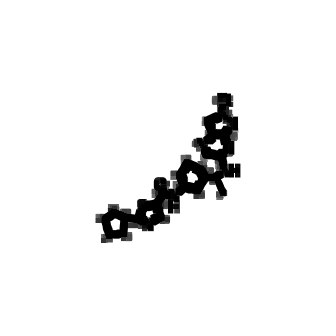 CCn1cc2ncc(N[C@@H](C)c3cccc(NC(=O)c4cnc(C5CCCC5)s4)c3)nc2n1